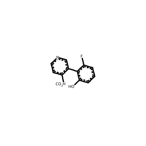 O=C(O)c1ccncc1-c1c(O)cccc1F